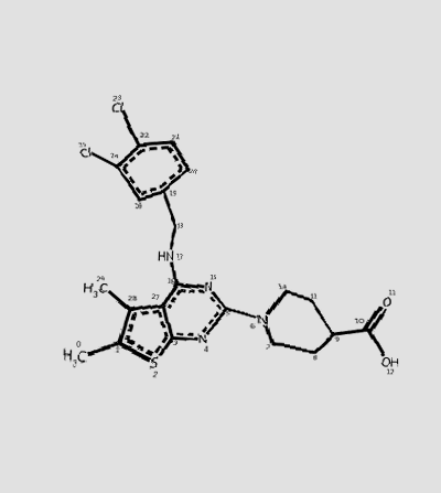 Cc1sc2nc(N3CCC(C(=O)O)CC3)nc(NCc3ccc(Cl)c(Cl)c3)c2c1C